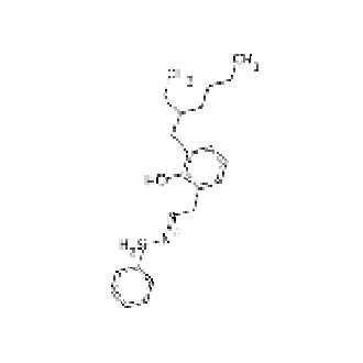 CCCCC(CC)Cc1cccc(C/N=N/[SiH2]c2ccccc2)c1O